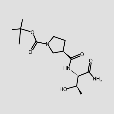 C[C@@H](O)[C@H](NC(=O)[C@@H]1CCN(C(=O)OC(C)(C)C)C1)C(N)=O